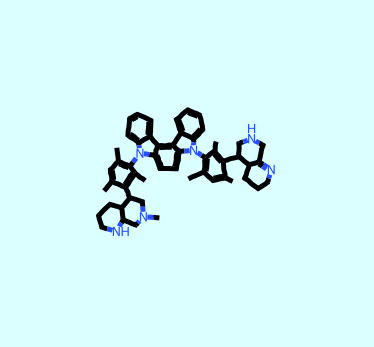 Cc1cc(C)c(-n2c3ccccc3c3c4c5ccccc5n(-c5c(C)cc(C)c(C6CN(C)CC7NCCCC76)c5C)c4ccc32)c(C)c1C1CNCC2=NCCCC21